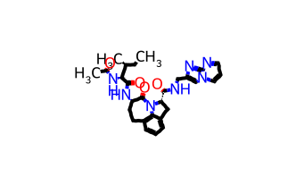 CC[C@H](C)[C@H](NC(C)=O)C(=O)N[C@H]1CCc2cccc3c2N(C1=O)[C@H](C(=O)NCc1cn2cccnc2n1)C3